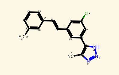 N#Cc1nn[nH]c1-c1cc(Cl)cc(C=Cc2cccc(C(F)(F)F)c2)c1